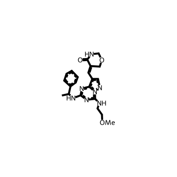 COCCNc1nc(NC(C)c2ccccc2)nc2c(/C=C3\COCNC3=O)cnn12